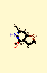 Cc1cc2sccc2c(=O)[nH]1